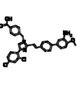 COc1ccc(-c2ccc(C=Cc3nc(-c4ccc(Cl)cc4Cl)cn3Cc3ccc(C(=O)O)cc3)cc2)cc1N